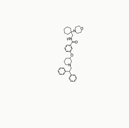 O=C(NCC1(N2CCOCC2)CCCCC1)c1cccc(OC2CCCN(CC(c3ccccc3)c3ccccc3)C2)c1